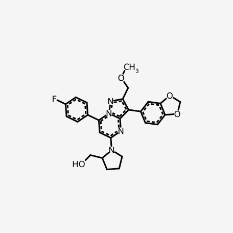 COCc1nn2c(-c3ccc(F)cc3)cc(N3CCCC3CO)nc2c1-c1ccc2c(c1)OCO2